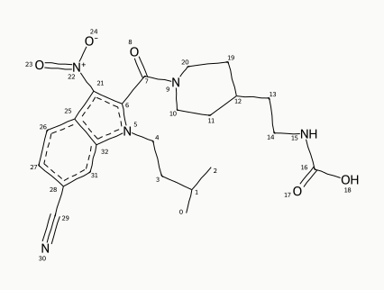 CC(C)CCn1c(C(=O)N2CCC(CCNC(=O)O)CC2)c([N+](=O)[O-])c2ccc(C#N)cc21